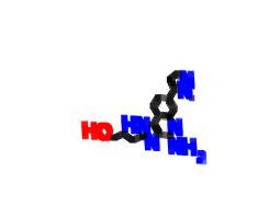 Cn1nccc1-c1ccc2c(c1)nc(N)c1nc(CCCO)[nH]c12